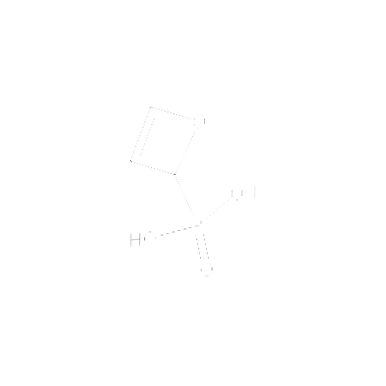 O=P(O)(O)C1C=CO1